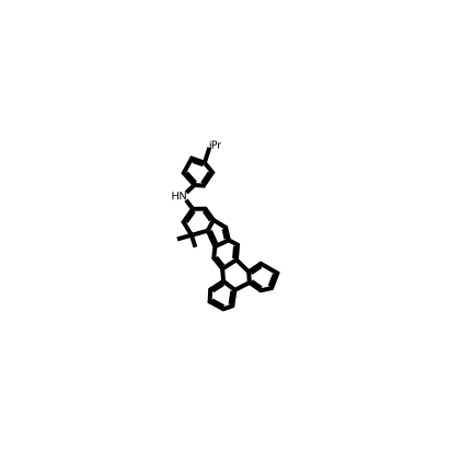 CC(C)c1ccc(NC2=CC(C)(C)C3=c4cc5c6ccccc6c6ccccc6c5cc4=CC3=C2)cc1